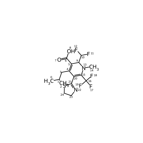 CC(C)CC1=C(C(=O)O)C(C(F)F)N(C)C(C(F)(F)F)=C1C1=NCCS1